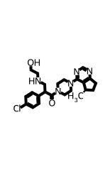 C[C@@H]1CCc2ncnc(N3CCN(C(=O)C(CNCCO)c4ccc(Cl)cc4)CC3)c21